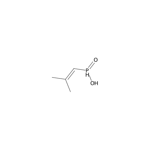 CC(C)=C[PH](=O)O